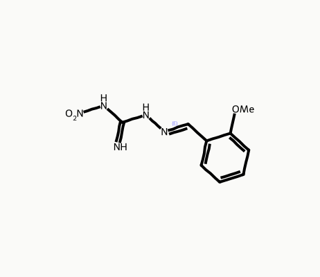 COc1ccccc1/C=N/NC(=N)N[N+](=O)[O-]